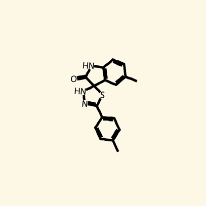 Cc1ccc(C2=NNC3(S2)C(=O)Nc2ccc(C)cc23)cc1